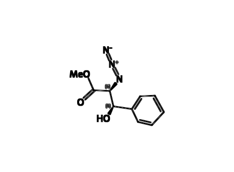 COC(=O)[C@@H](N=[N+]=[N-])[C@H](O)c1ccccc1